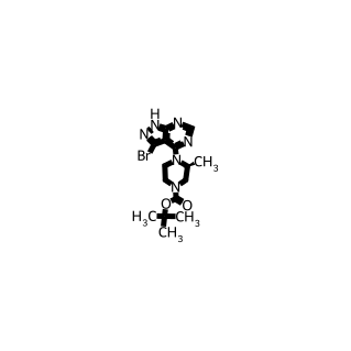 C[C@H]1CN(C(=O)OC(C)(C)C)CCN1c1ncnc2[nH]nc(Br)c12